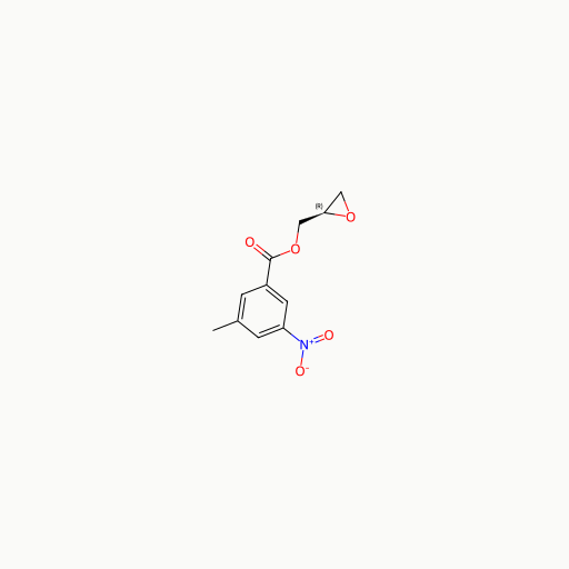 Cc1cc(C(=O)OC[C@H]2CO2)cc([N+](=O)[O-])c1